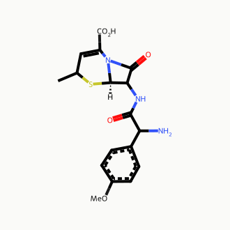 COc1ccc(C(N)C(=O)NC2C(=O)N3C(C(=O)O)=CC(C)S[C@H]23)cc1